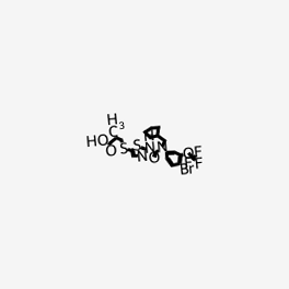 CC(CSc1cnc(NC(=O)N(CC2CCCC2)c2ccc(Br)c(OC(F)(F)F)c2)s1)C(=O)O